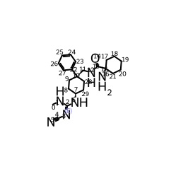 CN/C(=N\C#N)N[C@H]1CC[C@](CNC(=O)C2(N)CCCCC2)(c2ccccc2)CC1